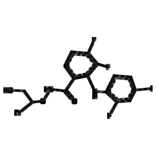 CCC(CO)ONC(=O)c1ccc(F)c(F)c1Nc1ccc(I)cc1F